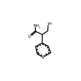 C[C](C)CC(C(N)=O)c1ccncc1